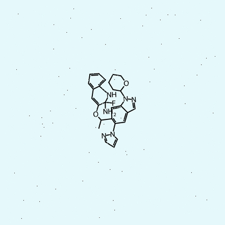 CC(OC1=Cc2ccccc2NC1(N)F)c1cc2c(cnn2C2CCCCO2)cc1-n1cccn1